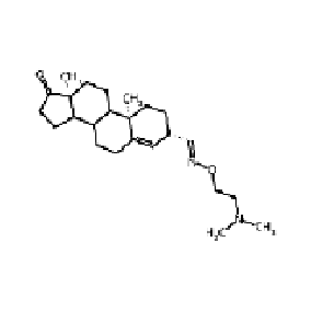 CN(C)CCON=C[C@@H]1C=C2CCC3C(CC[C@]4(C)C(=O)CCC34)[C@@]2(C)CC1